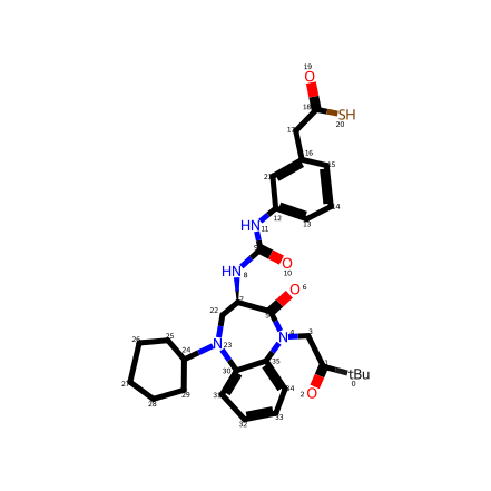 CC(C)(C)C(=O)CN1C(=O)[C@H](NC(=O)Nc2cccc(CC(=O)S)c2)CN(C2CCCCC2)c2ccccc21